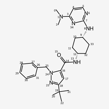 CN(C)c1ccnc(N[C@H]2CC[C@@H](NC(=O)c3cc(C(C)(C)C)nn3Cc3ccccc3)CC2)n1